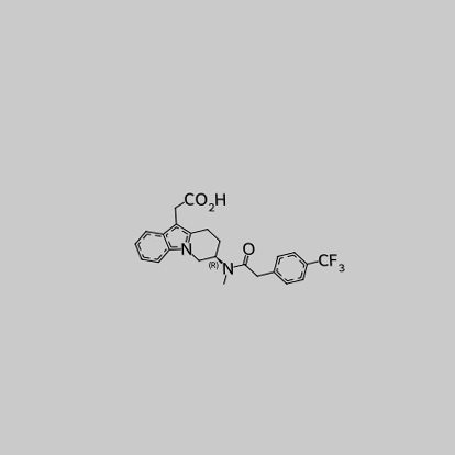 CN(C(=O)Cc1ccc(C(F)(F)F)cc1)[C@@H]1CCc2c(CC(=O)O)c3ccccc3n2C1